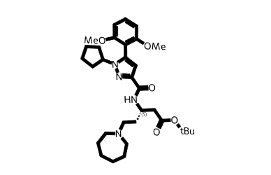 COc1cccc(OC)c1-c1cc(C(=O)N[C@@H](CCN2CCCCCC2)CC(=O)OC(C)(C)C)nn1C1CCCC1